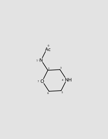 CC(=O)[N]C1CNCCO1